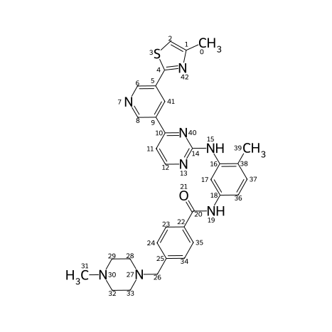 Cc1csc(-c2cncc(-c3ccnc(Nc4cc(NC(=O)c5ccc(CN6CCN(C)CC6)cc5)ccc4C)n3)c2)n1